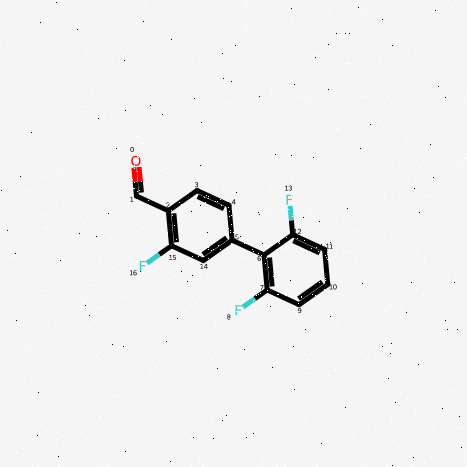 O=Cc1ccc(-c2c(F)cccc2F)cc1F